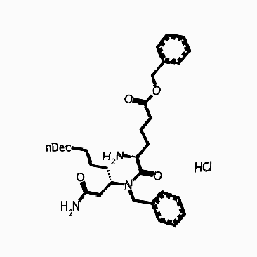 CCCCCCCCCCCCC[C@@H](CC(N)=O)N(Cc1ccccc1)C(=O)[C@@H](N)CCCC(=O)OCc1ccccc1.Cl